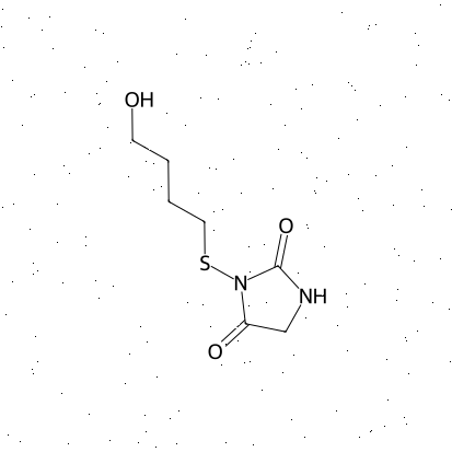 O=C1CNC(=O)N1SCCCCO